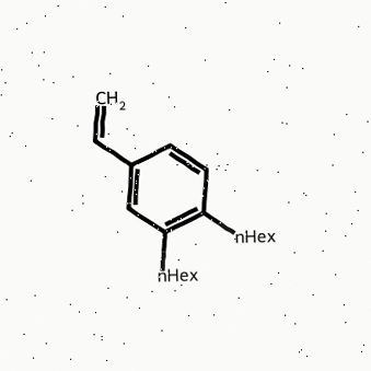 C=Cc1ccc(CCCCCC)c(CCCCCC)c1